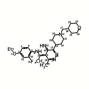 CCOc1ccc(N/C(C)=C2\C(=N)C(C3CCN(CC4CCOCC4)CC3)=NN=C2C)c(F)c1